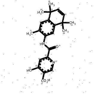 Cc1cc2c(cc1NC(=O)c1cc(O)c(C(=O)O)cn1)C(C)(C)C=CC2(C)C